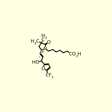 CC1(C)C[C@H](/C=C/C(O)c2ccc(C(F)(F)F)o2)N(CCCCCCC(=O)O)C1=O